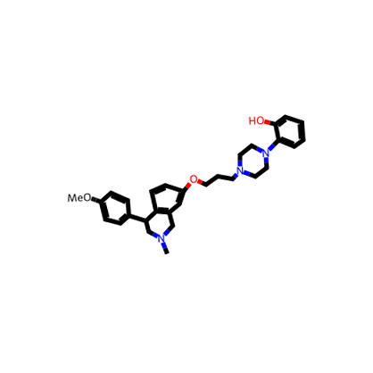 COc1ccc(C2CN(C)Cc3cc(OCCCN4CCN(c5ccccc5O)CC4)ccc32)cc1